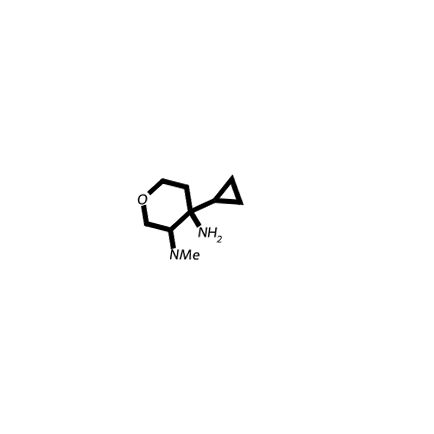 CNC1COCCC1(N)C1CC1